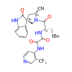 CC(C)(C)C[C@H](NC(=O)C(=O)Nc1ccncc1C(F)(F)F)C(=O)N1C[C@]2(C[C@H]1C#N)C(=O)Nc1ccccc12